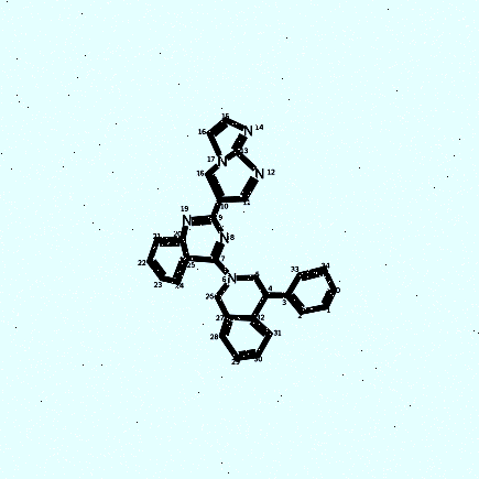 c1ccc(C2CN(c3nc(-c4cnc5nccn5c4)nc4ccccc34)Cc3ccccc32)cc1